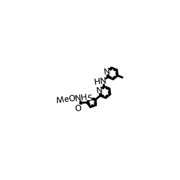 CONC(=O)c1ccc(-c2cccc(Nc3cc(C)ccn3)n2)s1